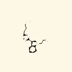 O=NCCn1cc(-c2noc(CCCO)n2)c2ccccc21